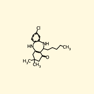 CCCCCC1Nc2cc(Cl)ccc2NC2=C1C(=O)CC(C)(C)C2